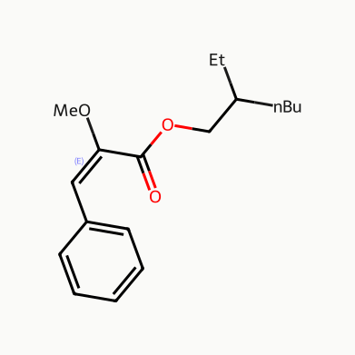 CCCCC(CC)COC(=O)/C(=C\c1ccccc1)OC